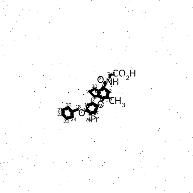 Cc1cc(C(=O)NCC(=O)O)c2c(c1Oc1ccc(OCc3ccccc3)c(C(C)C)c1)CCC2